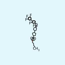 CCCCCC12COC(C3CCC(C4CCC(C(F)(F)Oc5ccc(-c6cc(F)c(F)c(F)c6)c(F)c5)CC4)CC3)(OC1)OC2